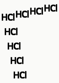 Cl.Cl.Cl.Cl.Cl.Cl.Cl.Cl